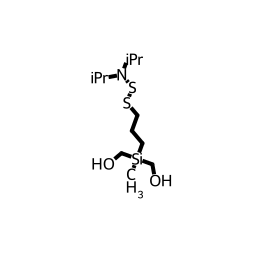 CC(C)N(SSCCC[Si](C)(CO)CO)C(C)C